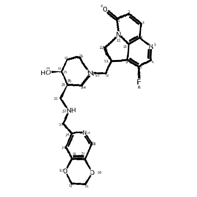 O=c1ccc2ncc(F)c3c2n1CC3CN1CC[C@H](O)[C@H](CNCc2cc3c(cn2)OCCO3)C1